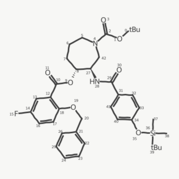 CC(C)(C)OC(=O)N1CCC[C@@H](OC(=O)c2cc(F)ccc2OCc2ccccc2)[C@H](NC(=O)c2ccc(O[Si](C)(C)C(C)(C)C)cc2)C1